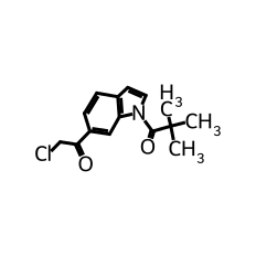 CC(C)(C)C(=O)n1ccc2ccc(C(=O)CCl)cc21